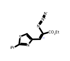 CCOC(=O)/C(=C/c1csc(C(C)C)n1)N=[N+]=[N-]